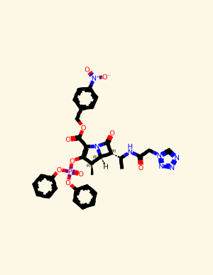 CC(NC(=O)Cn1cnnn1)[C@H]1C(=O)N2C(C(=O)OCc3ccc([N+](=O)[O-])cc3)=C(OP(=O)(Oc3ccccc3)Oc3ccccc3)[C@H](C)[C@H]12